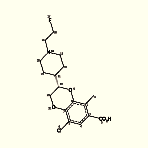 Cc1c(C(=O)O)cc(Cl)c2c1O[C@@H](C1CCN(CCF)CC1)CO2